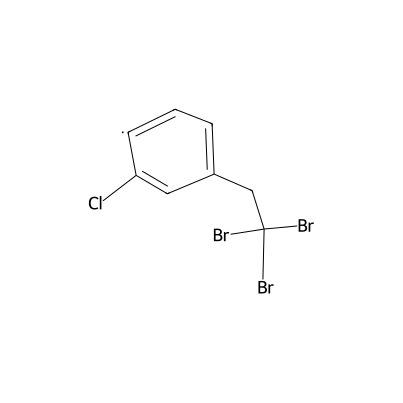 Clc1[c]ccc(CC(Br)(Br)Br)c1